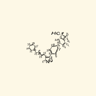 Cc1noc(-c2ccc(-c3ccc(C4(C(=O)O)CC4)cc3)cc2)c1/C=C/SCc1ccccc1